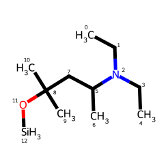 CCN(CC)C(C)CC(C)(C)O[SiH3]